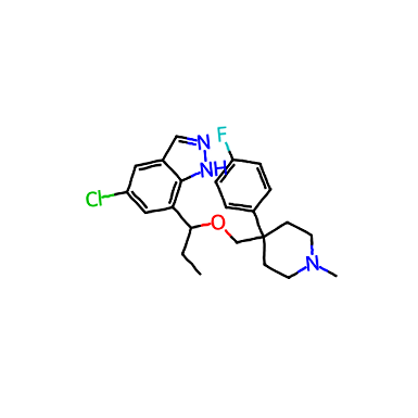 CCC(OCC1(c2ccc(F)cc2)CCN(C)CC1)c1cc(Cl)cc2cn[nH]c12